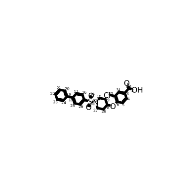 O=C(O)c1ccc(OC2CCN(S(=O)(=O)c3ccc(-c4ccccc4)cc3)CC2)c(Cl)c1